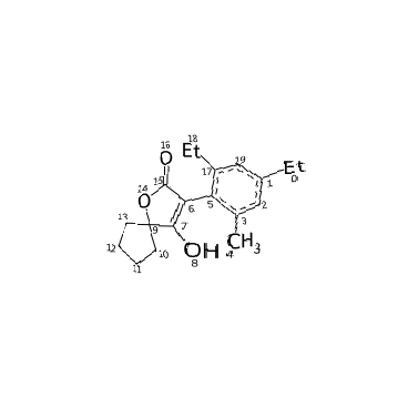 CCc1cc(C)c(C2=C(O)C3(CCCC3)OC2=O)c(CC)c1